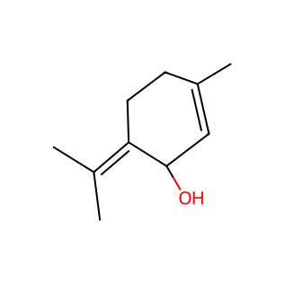 CC1=CC(O)C(=C(C)C)CC1